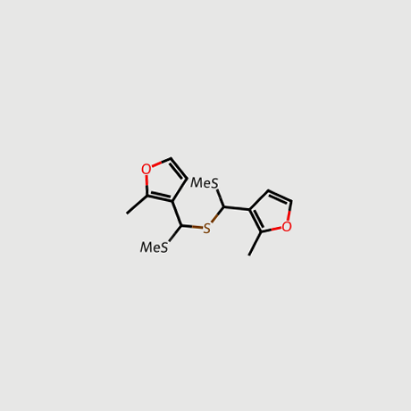 CSC(SC(SC)c1ccoc1C)c1ccoc1C